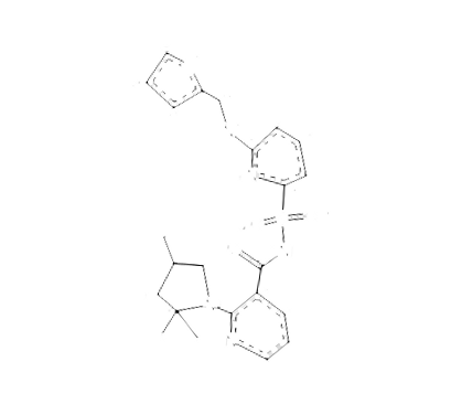 CC1CN(c2ncccc2C(=O)NS(=O)(=O)c2cccc(NCc3cccs3)n2)C(C)(C)C1